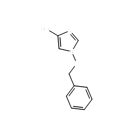 Oc1cn(OCc2ccccc2)cn1